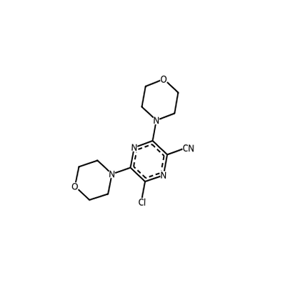 N#Cc1nc(Cl)c(N2CCOCC2)nc1N1CCOCC1